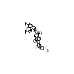 Cc1cn(-c2ccc3n(c2=O)CCN(CCOc2ccc(F)cc2C2(C)CC2(F)F)C3=O)cn1